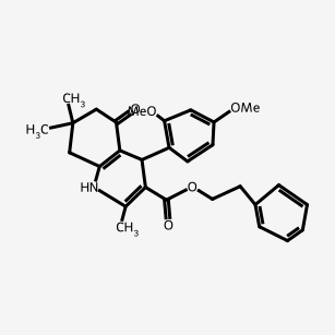 COc1ccc(C2C(C(=O)OCCc3ccccc3)=C(C)NC3=C2C(=O)CC(C)(C)C3)c(OC)c1